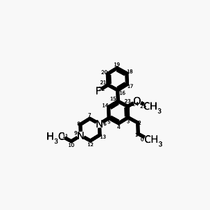 CCCc1cc(N2CCN(CC)CC2)cc(-c2ccccc2F)c1OC